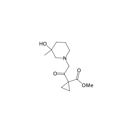 COC(=O)C1(C(=O)CN2CCCC(C)(O)C2)CC1